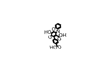 O=C(O)c1ccc(-c2c(C(=O)O)c3nc4ccccc4oc-3c(O)c2=O)cc1